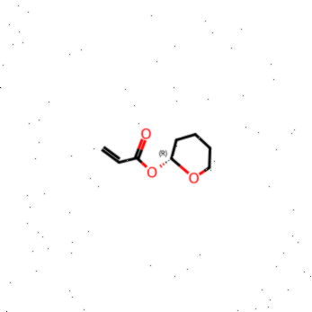 C=CC(=O)O[C@@H]1CCCCO1